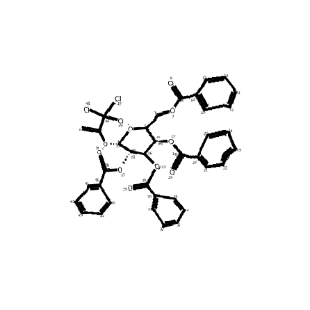 C=C(O[C@@H]1OC(COC(=O)c2ccccc2)[C@@H](OC(=O)c2ccccc2)C(OC(=O)c2ccccc2)[C@@H]1OC(=O)c1ccccc1)C(Cl)(Cl)Cl